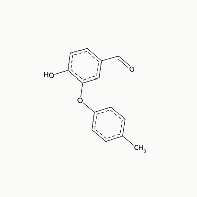 Cc1ccc(Oc2cc(C=O)ccc2O)cc1